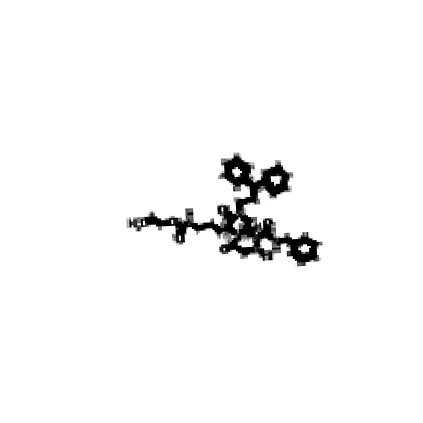 C=CCOC(=O)NCCC[C@H]1C(=O)N(CCC(c2ccccc2)c2ccccc2)C[C@H]2N1C(=O)CN(CC)N2C(=O)NCc1ccccc1